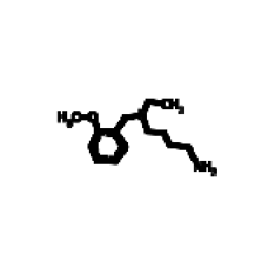 CCN(CCCCN)Cc1ccccc1OC